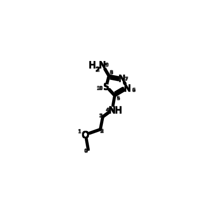 COCCNc1nnc(N)s1